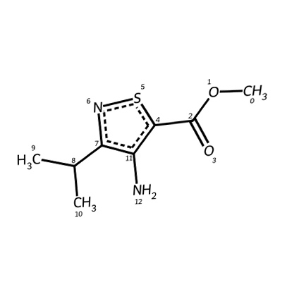 COC(=O)c1snc(C(C)C)c1N